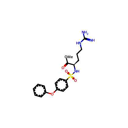 COC(=O)[C@@H](CCCNC(=N)N)NS(=O)(=O)c1ccc(Oc2ccccc2)cc1